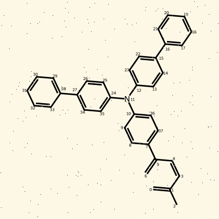 C=C(C)/C=C\C(=C)c1ccc(N(c2ccc(-c3ccccc3)cc2)c2ccc(-c3ccccc3)cc2)cc1